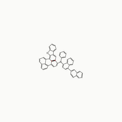 c1ccc(N(c2ccc(-c3cccc4cccc(-c5cccc6c5oc5ccccc56)c34)cc2)c2ccc(-c3ccc4ccccc4c3)c3ccccc23)cc1